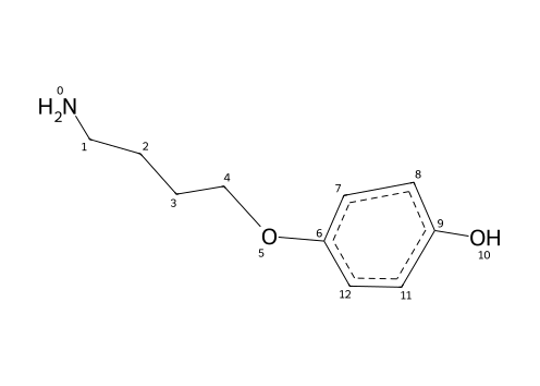 NCCCCOc1ccc(O)cc1